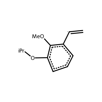 C=[C]c1cccc(OC(C)C)c1OC